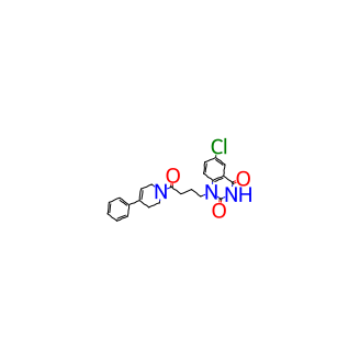 O=C(CCCn1c(=O)[nH]c(=O)c2cc(Cl)ccc21)N1CC=C(c2ccccc2)CC1